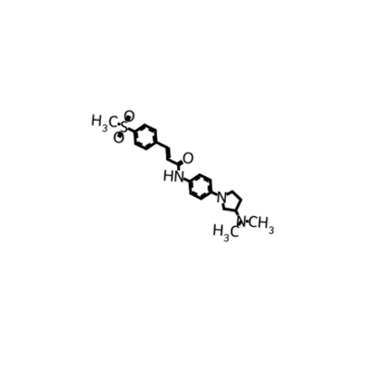 CN(C)C1CCN(c2ccc(NC(=O)/C=C/c3ccc(S(C)(=O)=O)cc3)cc2)C1